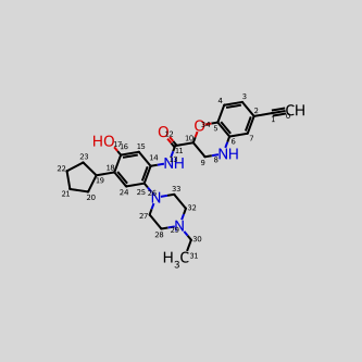 C#Cc1ccc2c(c1)NCC(C(=O)Nc1cc(O)c(C3CCCC3)cc1N1CCN(CC)CC1)O2